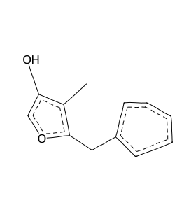 Cc1c(O)coc1Cc1ccccc1